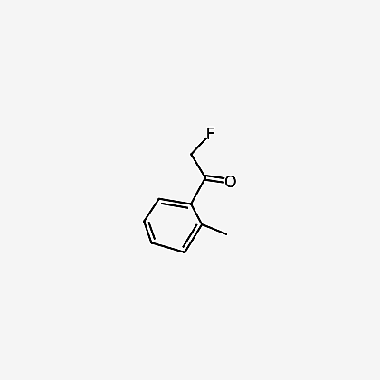 Cc1ccccc1C(=O)CF